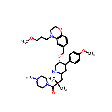 COCCCN1CCOc2ccc(CO[C@H]3CN[C@H](CC(C)(C)C(=O)N4CCN(C)CC4)CC3c3ccc(OC)cc3)cc21